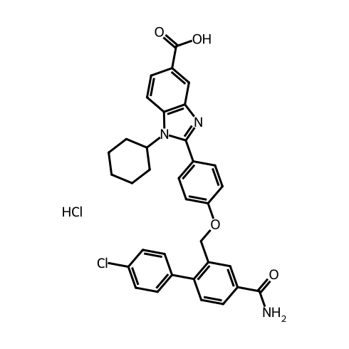 Cl.NC(=O)c1ccc(-c2ccc(Cl)cc2)c(COc2ccc(-c3nc4cc(C(=O)O)ccc4n3C3CCCCC3)cc2)c1